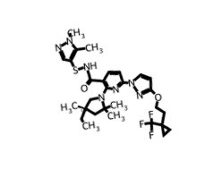 CC[C@]1(C)CN(c2nc(-n3ccc(OCCC4(C(F)(F)F)CC4)n3)ccc2C(=O)NSc2cnn(C)c2C)C(C)(C)C1